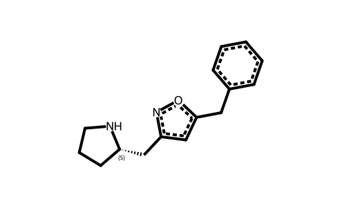 c1ccc(Cc2cc(C[C@@H]3CCCN3)no2)cc1